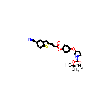 CC(C)(C)OC(=O)N1CC[C@H](Oc2ccc(OC(=O)C=Cc3cc4cc(C#N)ccc4s3)cc2)C1